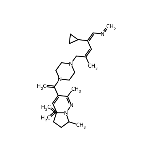 C=C/C=C(C(=C)N1CCN(C/C(C)=C\C(=C/N=C)C2CC2)CC1)\C(C)=N/N1C(=C)CCC1C